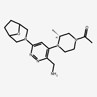 CC(=O)N1CCN(c2cc(N3CC4CCC(C3)O4)nnc2CN)[C@H](C)C1